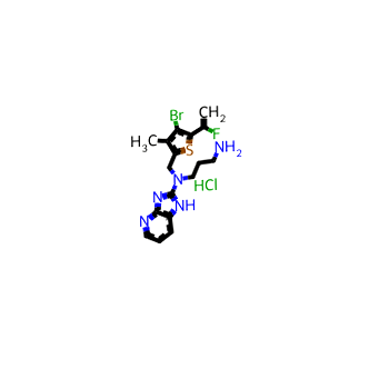 C=C(F)c1sc(CN(CCCN)c2nc3ncccc3[nH]2)c(C)c1Br.Cl